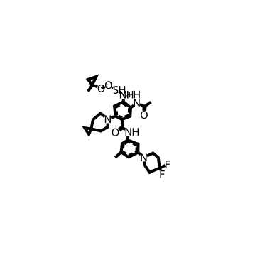 CC(=O)Nc1cc(C(=O)Nc2cc(C)cc(N3CCC(F)(F)CC3)c2)c(N2CCC3(CC2)CC3)cc1N[SH4]OOC1(C)CC1